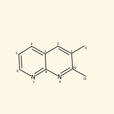 Cc1cc2cccnc2nc1C